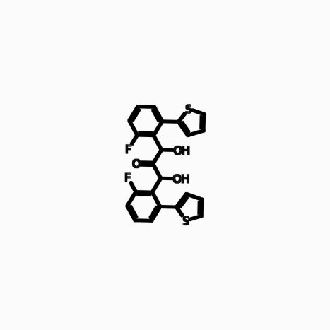 O=C(C(O)c1c(F)cccc1-c1cccs1)C(O)c1c(F)cccc1-c1cccs1